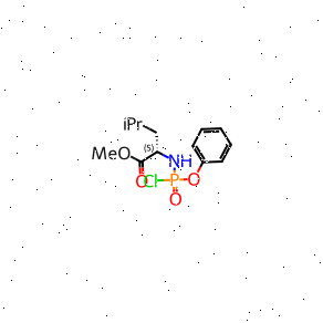 COC(=O)[C@H](CC(C)C)NP(=O)(Cl)Oc1ccccc1